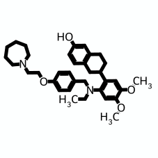 CCN(Cc1ccc(OCCN2CCCCCC2)cc1)c1cc(OC)c(OC)cc1C1CCc2cc(O)ccc2C1